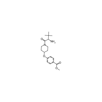 COC(=O)c1ccc(OC2CCN(C(=O)C(N)C(C)(C)C)CC2)cc1